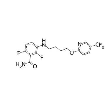 NC(=O)c1c(F)ccc(NCCCCOc2ccc(C(F)(F)F)cn2)c1F